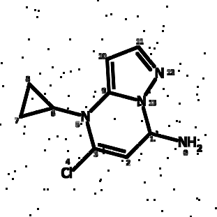 NC1C=C(Cl)N(C2CC2)c2ccnn21